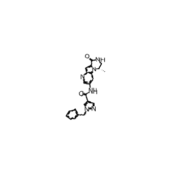 C[C@H]1CNC(=O)c2cc3ncc(NC(=O)c4cnn(Cc5ccccc5)c4)cc3n21